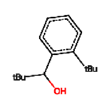 CC(C)(C)[C](O)c1ccccc1C(C)(C)C